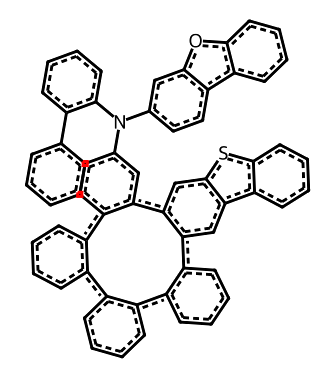 c1ccc(-c2ccccc2N(c2ccc3c(c2)oc2ccccc23)c2ccc3c4ccccc4c4ccccc4c4ccccc4c4cc5c(cc4c3c2)sc2ccccc25)cc1